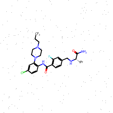 CC(C)[C@H](NCc1ccc(C(=O)Nc2ccc(Cl)cc2N2CCN(CCC(F)(F)F)CC2)c(F)c1)C(N)=O